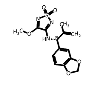 C=C(C)[C@@H](NC1=NS(=O)(=O)N=C1OC)c1ccc2c(c1)OCO2